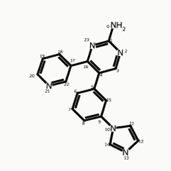 Nc1ncc(-c2cccc(-n3ccnc3)c2)c(-c2cccnc2)n1